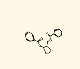 O=C(OC[C@H]1OCCC1OC(=O)c1ccccc1)c1ccccc1